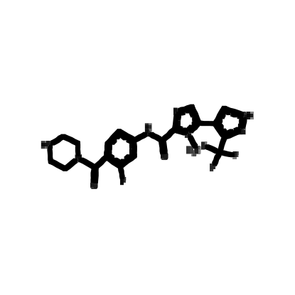 Cn1c(-c2c[nH]nc2C(F)(F)F)cnc1C(=O)Nc1ccc(C(=O)N2CCNCC2)c(F)c1